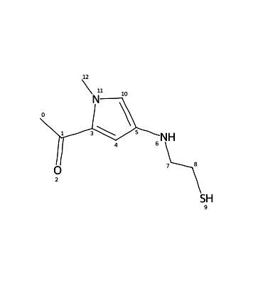 CC(=O)c1cc(NCCS)cn1C